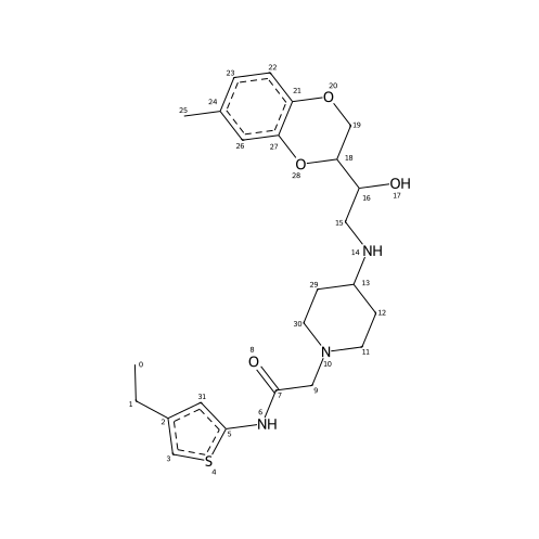 CCc1csc(NC(=O)CN2CCC(NCC(O)C3COc4ccc(C)cc4O3)CC2)c1